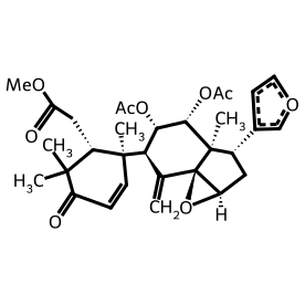 C=C1[C@@H]([C@@]2(C)C=CC(=O)C(C)(C)[C@@H]2CC(=O)OC)[C@H](OC(C)=O)[C@H](OC(C)=O)[C@@]2(C)[C@H](c3ccoc3)C[C@H]3O[C@]132